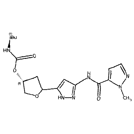 CC[C@H](C)NC(=O)O[C@H]1COC(c2cc(NC(=O)c3ccnn3C)n[nH]2)C1